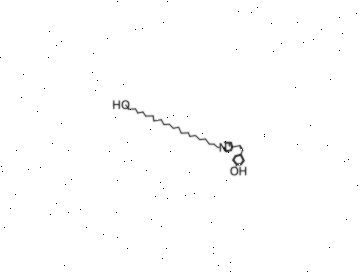 OCCCCCCCCCCCCCCCCCCCCC[n+]1ccc(/C=C\c2ccc(O)cc2)cc1